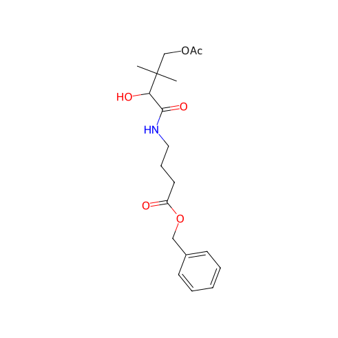 CC(=O)OCC(C)(C)C(O)C(=O)NCCCC(=O)OCc1ccccc1